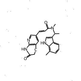 Cc1cccc2c(C(C)N(C)C(=O)C=Cc3cnc4c(c3)CCC(=O)N4)c[nH]c12